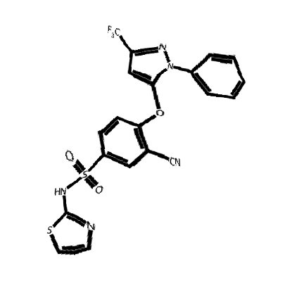 N#Cc1cc(S(=O)(=O)Nc2nccs2)ccc1Oc1cc(C(F)(F)F)nn1-c1ccccc1